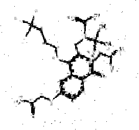 CC(C)Cn1c(CN(C(=O)O)C(C)(C)C)c(OCCCC(F)(F)F)c2cc(OCC(N)=O)ccc2c1=O